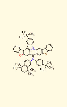 CC(C)(C)c1ccc(N2B3c4cc5sc6ccccc6c5cc4-n4c5ccc(C(C)(C)C)cc5c5c6c(oc7ccccc76)c(c3c54)-c3cc4c(cc32)C(C)(C)CCC4(C)C)cc1